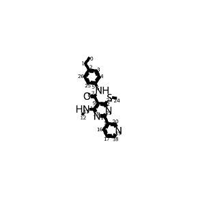 CCc1ccc(NC(=O)c2c(NC)nc(-c3cccnc3)nc2SC)cc1